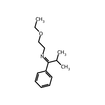 CCOCCN=C(c1ccccc1)C(C)C